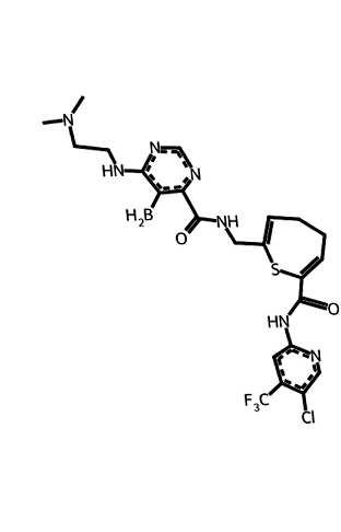 Bc1c(NCCN(C)C)ncnc1C(=O)NCC1=CCCC=C(C(=O)Nc2cc(C(F)(F)F)c(Cl)cn2)S1